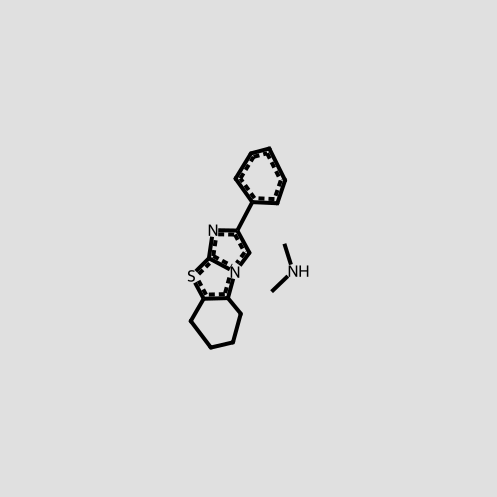 CNC.c1ccc(-c2cn3c4c(sc3n2)CCCC4)cc1